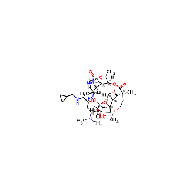 CC[C@H]1OC(=O)[C@@]2(C)CCO[C@@](C)(C[C@@H](C)CN[C@H](C)[C@H]3NC(=O)O[C@@]31C)[C@H](O[C@@H]1O[C@H](CNCC3CC3)C[C@H](N(C)C)[C@H]1O)[C@@H](C)C2=O